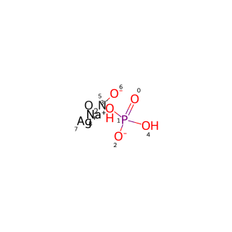 O=P([O-])(O)O.O=[N+]([O-])[O-].[Ag+].[Na+]